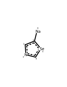 [Na][c]1cnc[se]1